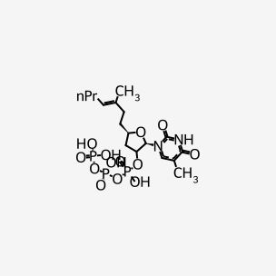 CCCC=C(C)CC[C@@H]1CC(OP(=O)(O)OP(=O)(O)OP(=O)(O)O)[C@H](n2cc(C)c(=O)[nH]c2=O)O1